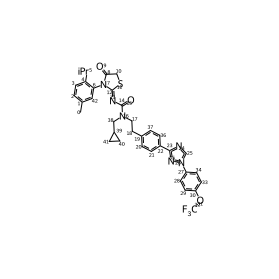 Cc1ccc(C(C)C)c(N2C(=O)CS/C2=N\C(=O)N(CCc2ccc(-c3ncn(-c4ccc(OC(F)(F)F)cc4)n3)cc2)CC2CC2)c1